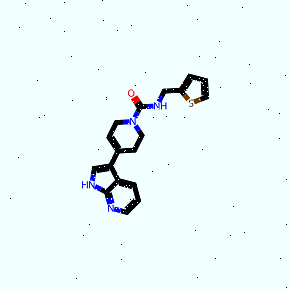 O=C(NCc1cccs1)N1CC=C(c2c[nH]c3ncccc23)CC1